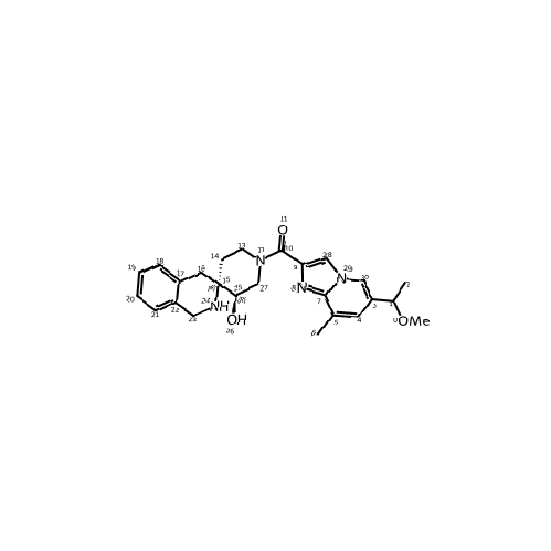 COC(C)c1cc(C)c2nc(C(=O)N3CC[C@]4(Cc5ccccc5CN4)[C@H](O)C3)cn2c1